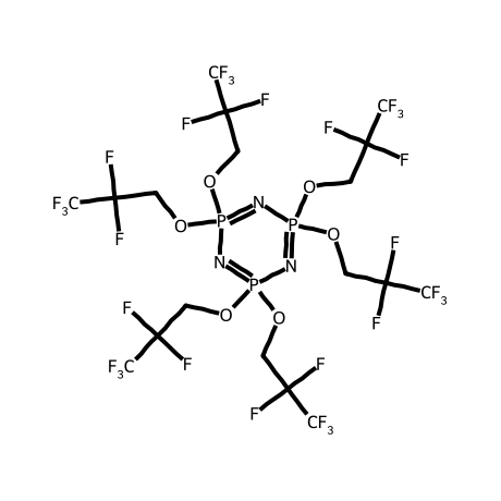 FC(F)(F)C(F)(F)COP1(OCC(F)(F)C(F)(F)F)=NP(OCC(F)(F)C(F)(F)F)(OCC(F)(F)C(F)(F)F)=NP(OCC(F)(F)C(F)(F)F)(OCC(F)(F)C(F)(F)F)=N1